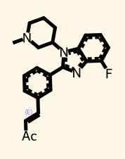 CC(=O)/C=C/c1cccc(-c2nc3c(F)cccc3n2C2CCCN(C)C2)c1